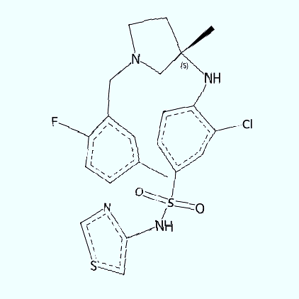 Cc1ccc(F)c(CN2CC[C@](C)(Nc3ccc(S(=O)(=O)Nc4cscn4)cc3Cl)C2)c1